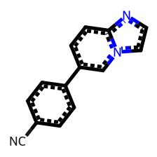 N#Cc1ccc(-c2ccc3nccn3c2)cc1